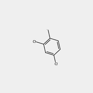 [CH2]c1ccc(Cl)cc1Cl